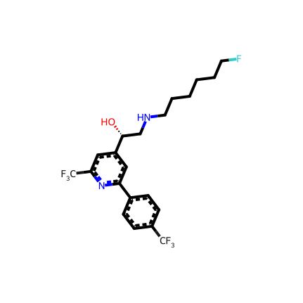 O[C@H](CNCCCCCCF)c1cc(-c2ccc(C(F)(F)F)cc2)nc(C(F)(F)F)c1